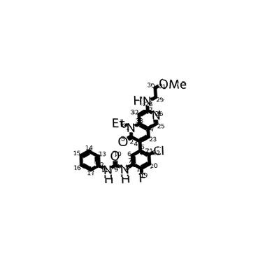 CCn1c(=O)c(-c2cc(NC(=O)Nc3ccccc3)c(F)cc2Cl)cc2cnc(NCCOC)cc21